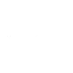 C#C[Si](C#C)(C#C)c1ccoc1